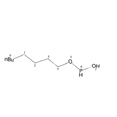 CCCCCCCCOPO